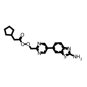 Nc1nc2ccc(-c3cnc(COOC(=O)CC4CCCC4)nc3)cc2s1